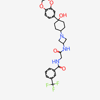 O=C(CNC(=O)c1cccc(C(F)(F)F)c1)NC1CN(C2CCC(O)(c3ccc4c(c3)OCCO4)CC2)C1